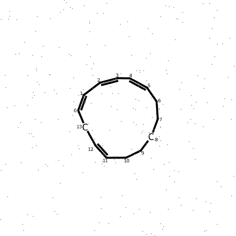 [C]1=CC=CC=CCCCCCC=CC1